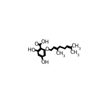 CC(C)=CCC/C(C)=C/COc1cc(O)cc(O)c1C(=O)O